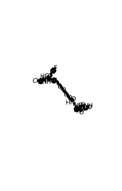 O=C(COCCOCCOCCOCCCc1ccc(-c2nn(-c3nc4cc(Cl)ccc4[nH]3)c(O)c2CCc2ccc(F)cc2)cc1)NCCNc1cccc2c1C(=O)N(C1CCC(=O)NC1=O)C2=O